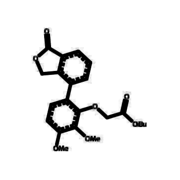 COc1ccc(-c2cccc3c2COC3=O)c(OCC(=O)OCC(C)C)c1OC